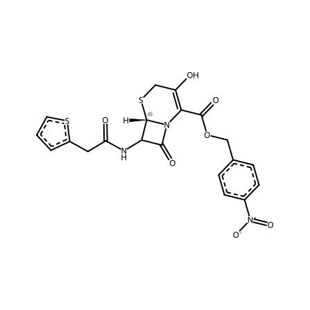 O=C(Cc1cccs1)NC1C(=O)N2C(C(=O)OCc3ccc([N+](=O)[O-])cc3)=C(O)CS[C@@H]12